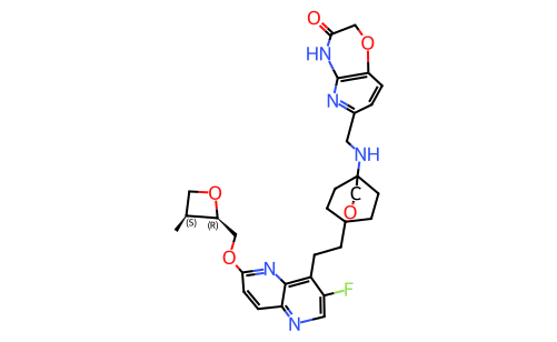 C[C@H]1CO[C@H]1COc1ccc2ncc(F)c(CCC34CCC(NCc5ccc6c(n5)NC(=O)CO6)(CC3)CO4)c2n1